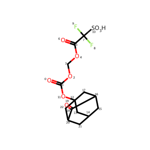 O=C(OCOC(=O)C(F)(F)S(=O)(=O)O)OC12CC3CC(C1)C(=O)C(C3)C2